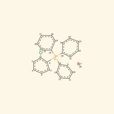 Clc1ccccc1[P+](c1ccccc1)(c1ccccc1)c1ccccc1.[Br-]